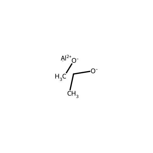 CC[O-].C[O-].[Al+2]